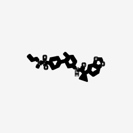 C=CCN(C)S(=O)(=O)c1ccc(-c2cc(NC(=O)C3(c4ccc5c(c4)OCO5)CC3)ccc2C)cc1